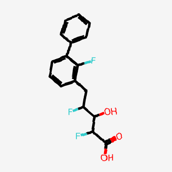 O=C(O)C(F)C(O)C(F)Cc1cccc(-c2ccccc2)c1F